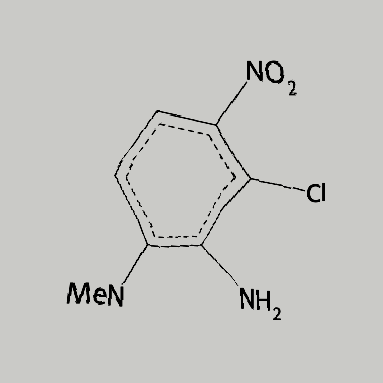 CNc1ccc([N+](=O)[O-])c(Cl)c1N